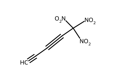 C#CC#CC([N+](=O)[O-])([N+](=O)[O-])[N+](=O)[O-]